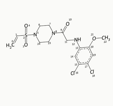 C=CS(=O)(=O)N1CCN(C(=O)CNc2cc(Cl)c(Cl)cc2OC)CC1